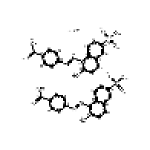 O=C(O)c1ccc(N=Nc2c(O)ccc3cc(S(=O)(=O)[O-])ccc23)cc1.O=C(O)c1ccc(N=Nc2c(O)ccc3cc(S(=O)(=O)[O-])ccc23)cc1.[Sr+2]